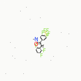 C[C@@H](c1c(F)ccc(F)c1F)[C@H](C(=O)N(C)C)c1ccc(S(F)(F)(F)(F)F)cc1